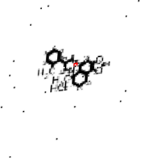 Cc1ccccc1C1CCN(C2(C)CCCc3c4c(cc(F)c32)OCO4)C1.Cl